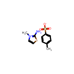 C[n+]1ccsc1N.Cc1ccc(S(=O)(=O)[O-])cc1